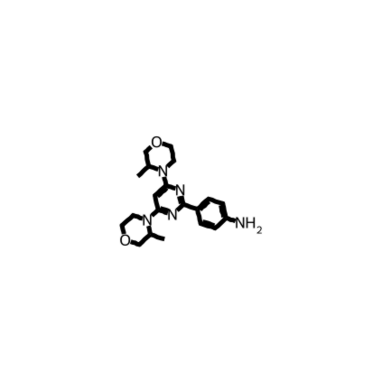 CC1COCCN1c1cc(N2CCOCC2C)nc(-c2ccc(N)cc2)n1